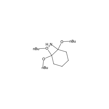 CCCCOC1(N)CCCCC1(OCCCC)OCCCC